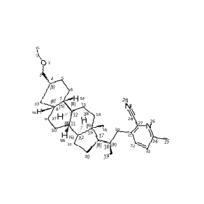 CCOC[C@H]1CC[C@H]2[C@H](CC[C@@H]3[C@@H]2CC[C@]2(C)[C@@H]([C@H](C)Cc4ccc(C)nc4C#N)CC[C@@H]32)C1